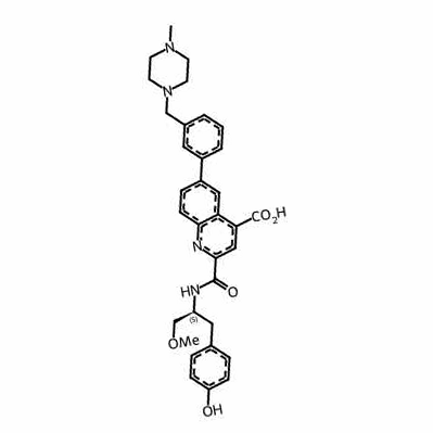 COC[C@H](Cc1ccc(O)cc1)NC(=O)c1cc(C(=O)O)c2cc(-c3cccc(CN4CCN(C)CC4)c3)ccc2n1